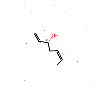 C=C[C@H](O)C/C=C\C